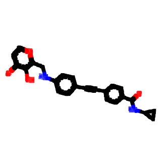 O=C(NC1CC1)c1ccc(C#Cc2ccc(NCc3occc(=O)c3O)cc2)cc1